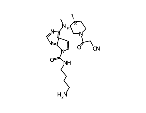 C[C@@H]1CCN(C(=O)CC#N)C[C@@H]1N(C)c1ncnc2c1ccn2C(=O)NCCCCN